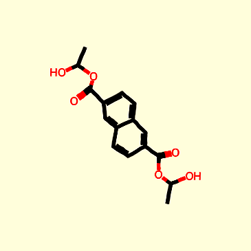 CC(O)OC(=O)c1ccc2cc(C(=O)OC(C)O)ccc2c1